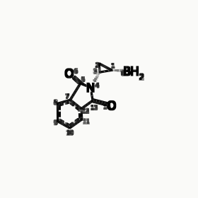 B[C@H]1C[C@H]1N1C(=O)c2ccccc2C1=O